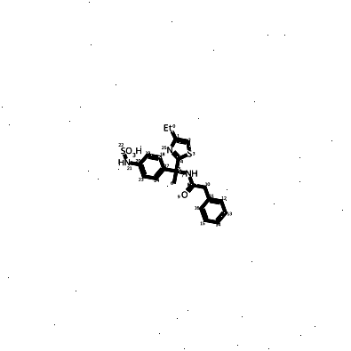 CCc1csc(C(C)(NC(=O)Cc2ccccc2)c2ccc(NS(=O)(=O)O)cc2)n1